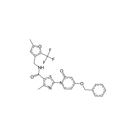 Cc1cc(CNC(=O)c2sc(-n3ccc(OCc4ccccc4)cc3=O)nc2C)c(C(F)(F)F)o1